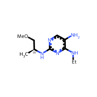 CCNc1nc(N[C@@H](C)COC)ncc1N